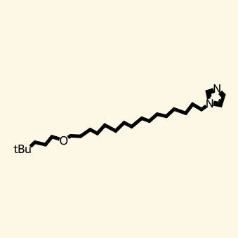 CC(C)(C)CCCOCCCCCCCCCCCCCCCCn1ccnc1